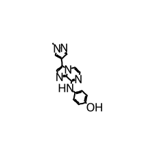 Cn1cc(-c2cnc3c(Nc4ccc(O)cc4)nccn23)cn1